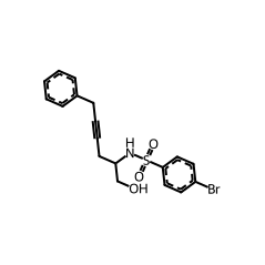 O=S(=O)(NC(CO)CC#CCc1ccccc1)c1ccc(Br)cc1